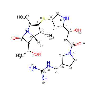 C[C@@H](O)[C@H]1C(=O)N2C(C(=O)O)=C(S[C@@H]3CN[C@H]([C@H](O)CC(=O)N4CC[C@H](CNC(=N)N)C4)C3)[C@H](C)[C@H]12